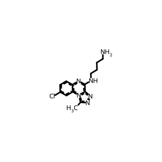 Cc1nnc2c(NCCCCN)nc3ccc(Cl)cc3n12